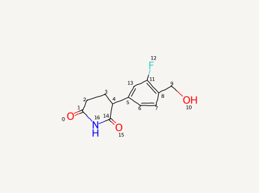 O=C1CCC(c2ccc(CO)c(F)c2)C(=O)N1